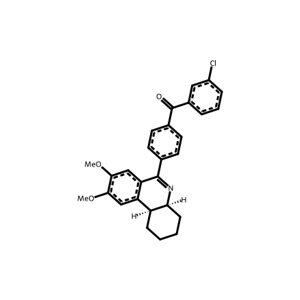 COc1cc2c(cc1OC)[C@@H]1CCCC[C@@H]1N=C2c1ccc(C(=O)c2cccc(Cl)c2)cc1